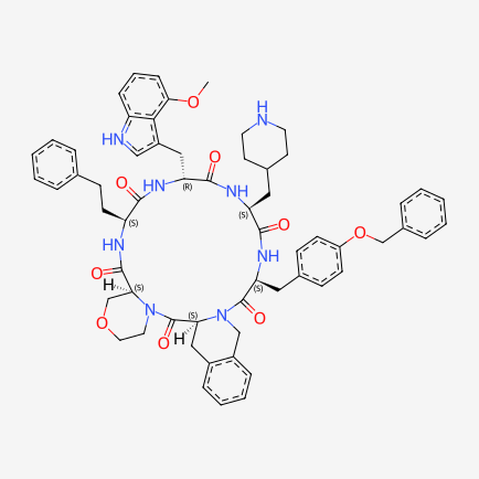 COc1cccc2[nH]cc(C[C@H]3NC(=O)[C@H](CCc4ccccc4)NC(=O)[C@@H]4COCCN4C(=O)[C@@H]4Cc5ccccc5CN4C(=O)[C@H](Cc4ccc(OCc5ccccc5)cc4)NC(=O)[C@H](CC4CCNCC4)NC3=O)c12